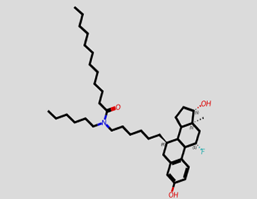 CCCCCCCCCCCC(=O)N(CCCCCC)CCCCCC[C@@H]1Cc2cc(O)ccc2C2C1C1CC[C@H](O)[C@@]1(C)C[C@@H]2F